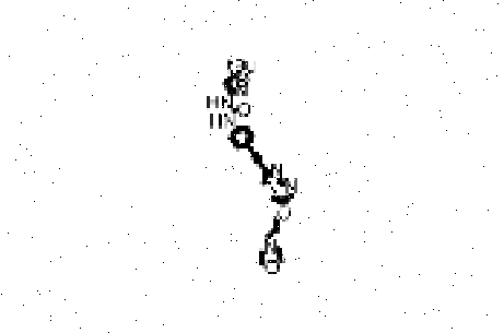 CC(C)(C)c1cc(NC(=O)Nc2ccc(C#Cc3cn4cc(OCCCN5CCOCC5)cnc4n3)cc2)no1